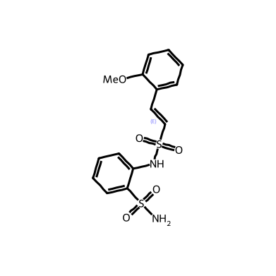 COc1ccccc1/C=C/S(=O)(=O)Nc1ccccc1S(N)(=O)=O